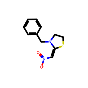 O=[N+]([O-])/C=C1/SCCN1Cc1ccccc1